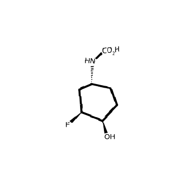 O=C(O)N[C@@H]1CC[C@@H](O)[C@@H](F)C1